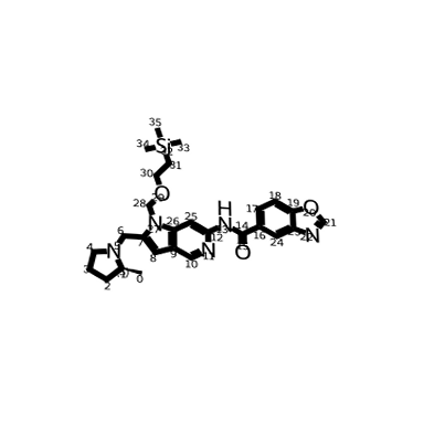 C[C@H]1CCCN1Cc1cc2cnc(NC(=O)c3ccc4ocnc4c3)cc2n1COCC[Si](C)(C)C